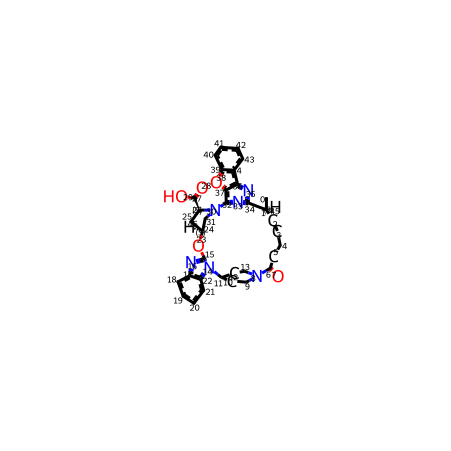 C[C@H]1CCCCC(=O)N2CCC(CC2)n2c(nc3ccccc32)O[C@H]2C[C@@H](C(=O)O)N(C2)c2nc1nc1c2oc2ccccc21